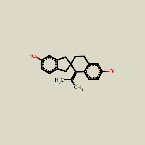 CC(C)=C1c2ccc(O)cc2CCC12Cc1ccc(O)cc1C2